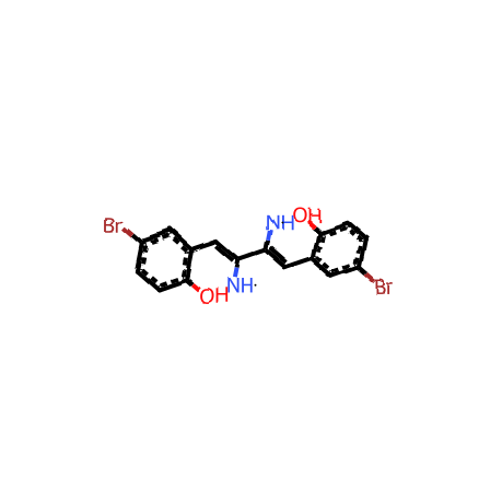 [NH]C(=Cc1cc(Br)ccc1O)C([NH])=Cc1cc(Br)ccc1O